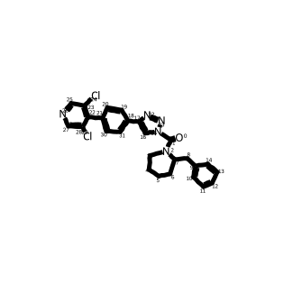 O=C(N1CCCCC1Cc1ccccc1)n1cc(-c2ccc(-c3c(Cl)cncc3Cl)cc2)nn1